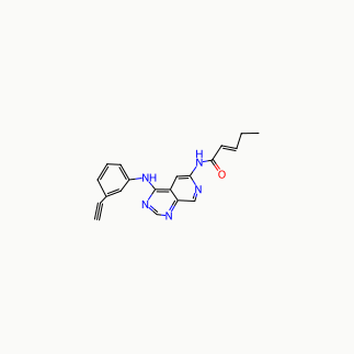 C#Cc1cccc(Nc2ncnc3cnc(NC(=O)/C=C/CC)cc23)c1